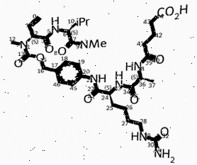 C=C[C@@H](C(=O)N[C@H](C(=O)NC)C(C)C)N(C)C(=O)OCc1ccc(NC(=O)[C@H](CCCCNC(N)=O)NC(=O)[C@H](C)NC(=O)CCCC(=O)O)cc1